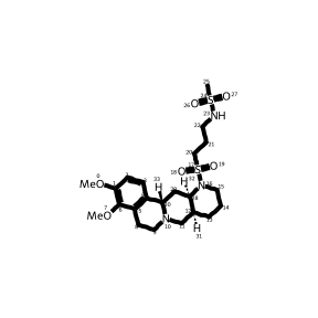 COc1ccc2c(c1OC)CCN1C[C@@H]3CCCN(S(=O)(=O)CCCNS(C)(=O)=O)[C@@H]3C[C@@H]21